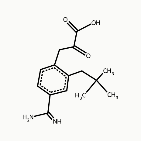 CC(C)(C)Cc1cc(C(=N)N)ccc1CC(=O)C(=O)O